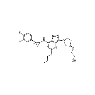 CCCSc1nc(NC2C[C@H]2c2ccc(F)c(F)c2)c2nnn([C@H]3CC[C@@H](OCCO)C3)c2n1